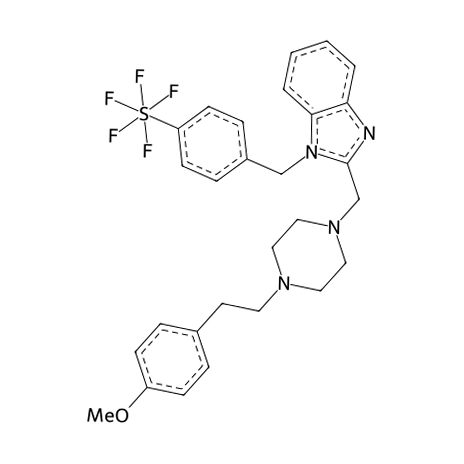 COc1ccc(CCN2CCN(Cc3nc4ccccc4n3Cc3ccc(S(F)(F)(F)(F)F)cc3)CC2)cc1